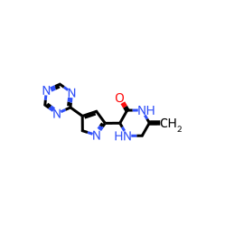 C=C1CNC(C2=NCC(c3ncncn3)=C2)C(=O)N1